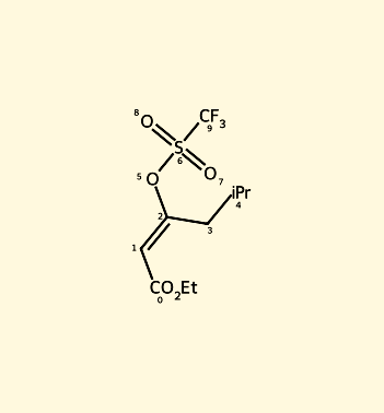 CCOC(=O)/C=C(\CC(C)C)OS(=O)(=O)C(F)(F)F